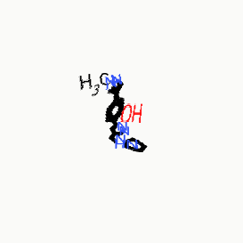 Cn1cc(-c2ccc(-c3cc4ccn(C5CC6CCC(C5)N6)c4nn3)c(O)c2)cn1